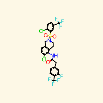 O=C(Cc1ccc(C(F)(F)F)c(F)c1)Nc1c(Cl)ccc2c1CCN(S(=O)(=O)c1cc(C(F)(F)F)ccc1Cl)C2